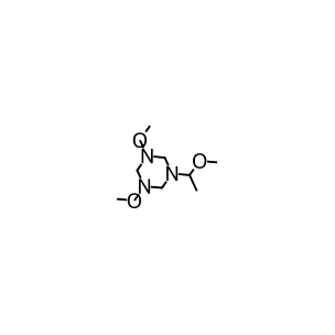 COC(C)N1CN(OC)CN(OC)C1